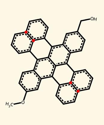 COc1ccc2c(-c3ccccc3)c3c(-c4ccccc4)c4cc(CO)ccc4c(-c4ccccc4)c3c(-c3ccccc3)c2c1